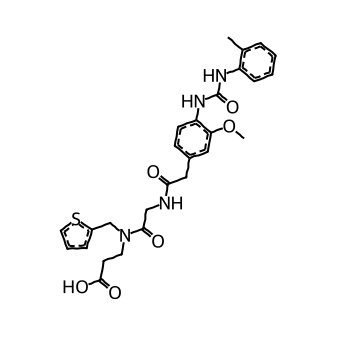 COc1cc(CC(=O)NCC(=O)N(CCC(=O)O)Cc2cccs2)ccc1NC(=O)Nc1ccccc1C